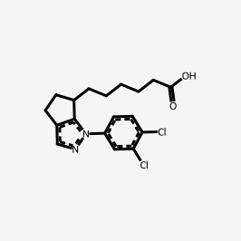 O=C(O)CCCCCC1CCc2cnn(-c3ccc(Cl)c(Cl)c3)c21